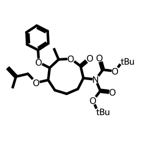 C=C(C)COC1CCCC(N(C(=O)OC(C)(C)C)C(=O)OC(C)(C)C)C(=O)OC(C)C1Oc1ccccc1